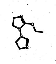 CCOC1=NCCN1N1C=NCC1